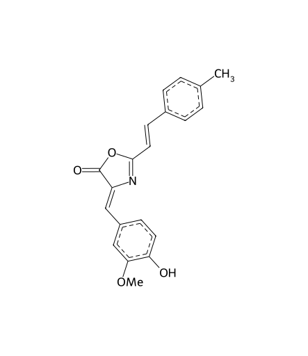 COc1cc(/C=C2N=C(/C=C/c3ccc(C)cc3)OC\2=O)ccc1O